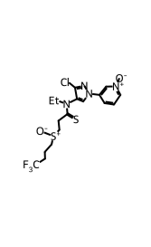 CCN(C(=S)CC[S+]([O-])CCCC(F)(F)F)c1cn(-c2ccc[n+]([O-])c2)nc1Cl